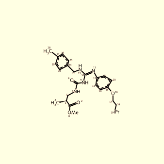 COC(=O)[C@@H](C)CNC(=O)N/C(=N\c1ccc(OCCC(C)C)cc1)NCc1ccc(C)cc1